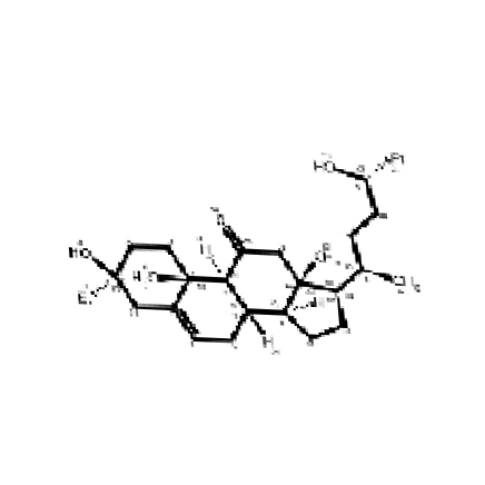 CC[C@]1(O)CC[C@@]2(C)C(=CC[C@H]3[C@@H]4CC[C@H]([C@H](C)CC[C@H](O)C(C)C)[C@@]4(C)CC(=O)[C@@H]32)C1